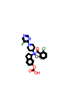 C[N+](C(=O)c1ccccc1Cl)(C1CCN(c2ncncc2F)CC1)C1CCc2ccc(OC(=O)O)cc21